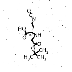 CC(C)(C)OC(=O)CN[C@@H](CCN=C=O)C(=O)O